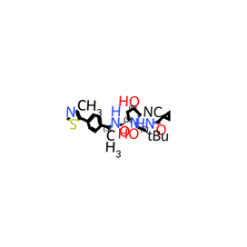 Cc1ncsc1-c1ccc([C@H](C)NC(=O)[C@@H]2C[C@@H](O)CN2C(O)[C@@H](NC(=O)C2(C#N)CC2)C(C)(C)C)cc1